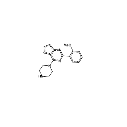 COc1ccccc1-c1nc(N2CCNCC2)c2sccc2n1